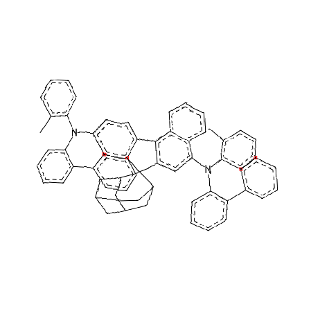 Cc1ccccc1N(c1ccc2c(c1)C1(c3cc(N(c4ccccc4C)c4ccccc4-c4ccccc4)c4ccccc4c3-2)C2CC3CC(C2)CC1C3)c1ccccc1-c1ccccc1